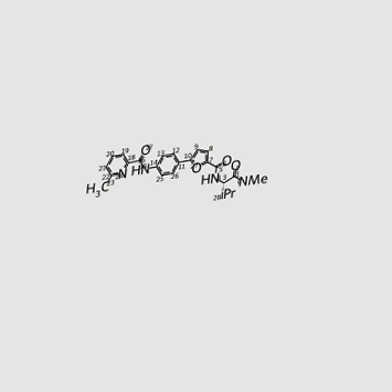 CNC(=O)[C@@H](NC(=O)c1ccc(-c2ccc(NC(=O)c3cccc(C)n3)cc2)o1)C(C)C